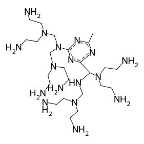 Cc1nc(C(NCN(CCN)CCN)N(CCN)CCN)nc(N(CN(CCN)CCN)CN(CCN)CCN)n1